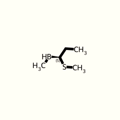 CB[C@@H](CC)SC